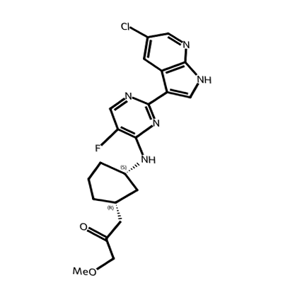 COCC(=O)C[C@@H]1CCC[C@H](Nc2nc(-c3c[nH]c4ncc(Cl)cc34)ncc2F)C1